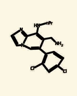 CCCNc1c(CN)c(-c2ccc(Cl)cc2Cl)cn2ccnc12